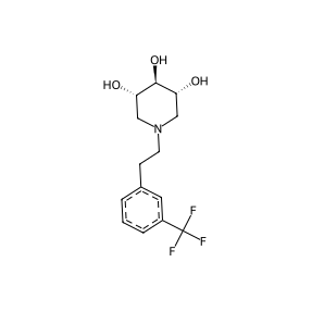 O[C@H]1[C@H](O)CN(CCc2cccc(C(F)(F)F)c2)C[C@@H]1O